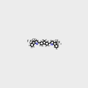 CC1(C)c2cc(-c3ccc4c(n3)-c3ccccc3C4(C(F)(F)F)C(F)(F)F)ccc2-c2ccc(-c3ccc4c(n3)-c3ccccc3C4(C(F)(F)F)C(F)(F)F)cc21